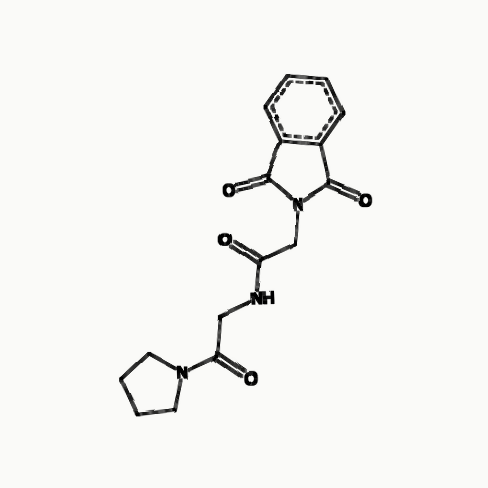 O=C(CN1C(=O)c2ccccc2C1=O)NCC(=O)N1CCCC1